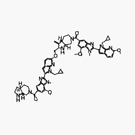 C=C1C(COc2ccc3cc(-c4nc5cc(C(=O)N6CC[C@H]7CCN[C@H]7C6)cc(OC)c5n4C)n(CC4CC4)c3n2)N[C@@H]2CN(C(=O)c3cc(OC)c4c(c3)nc(-c3cc5ccc(OC)nc5n3CC3CC3)n4C)CC[C@H]12